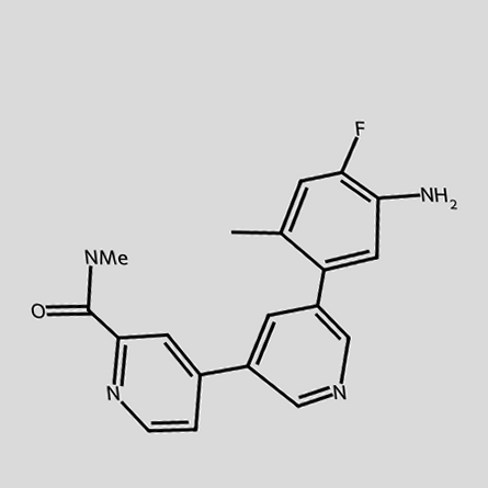 CNC(=O)c1cc(-c2cncc(-c3cc(N)c(F)cc3C)c2)ccn1